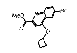 COC(=O)c1cc(OC2CCC2)c2cc(Br)ccc2n1